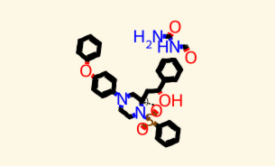 C[C@@]1(CC(O)c2ccccc2)CN(c2ccc(Oc3ccccc3)cc2)CCN1S(=O)(=O)c1ccccc1.NC(=O)NC=O